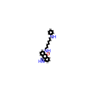 O=C1c2c(NCCCCCCCNc3ccccc3)cccc2-c2n[nH]c3cccc1c23